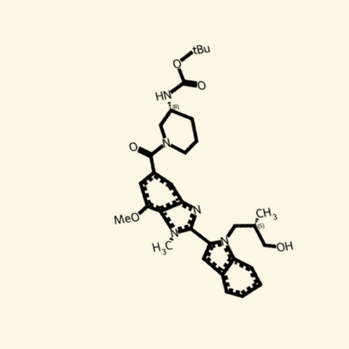 COc1cc(C(=O)N2CCC[C@@H](NC(=O)OC(C)(C)C)C2)cc2nc(-c3cc4ccccc4n3C[C@H](C)CO)n(C)c12